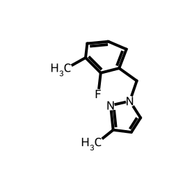 Cc1ccn(Cc2cccc(C)c2F)n1